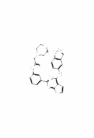 O=C(CN1CCOCC1)Nc1cccc(-c2nc(Nc3ccc4[nH]ncc4c3)c3ccsc3n2)c1